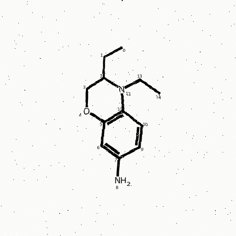 CCC1COc2cc(N)ccc2N1CC